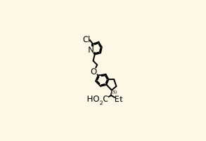 CCC(C(=O)O)[C@@H]1CCc2cc(OCCc3cccc(Cl)n3)ccc21